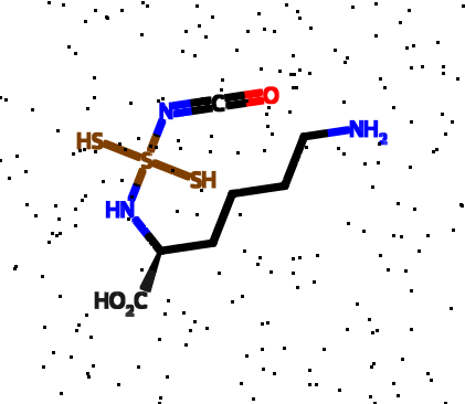 NCCCC[C@H](NS(S)(S)N=C=O)C(=O)O